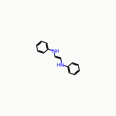 C(=CNc1ccccc1)Nc1ccccc1